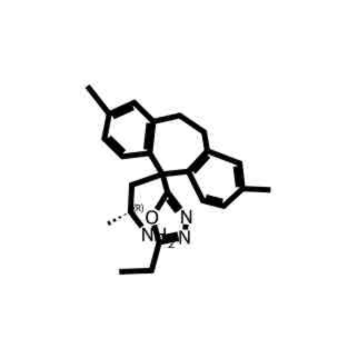 CCc1nnc(C2(C[C@@H](C)N)c3ccc(C)cc3CCc3cc(C)ccc32)o1